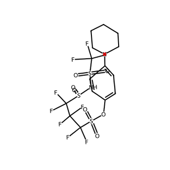 O=S(=O)(NS(=O)(=O)C(F)(F)C(F)(F)C(F)(F)S(=O)(=O)Oc1ccc(N2CCCCC2)cc1)C(F)(F)F